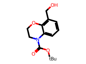 CC(C)(C)OC(=O)N1CCOc2c(CO)cccc21